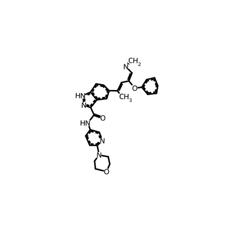 C=N/C=C(\C=C(/C)c1ccc2[nH]nc(C(=O)Nc3ccc(N4CCOCC4)nc3)c2c1)Oc1ccccc1